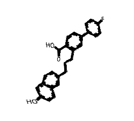 O=C(O)c1ccc(-c2ccc(F)cc2)cc1C/C=C/c1ccc2cc(O)ccc2c1